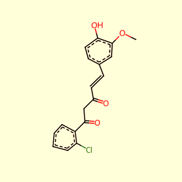 COc1cc(/C=C/C(=O)CC(=O)c2ccccc2Cl)ccc1O